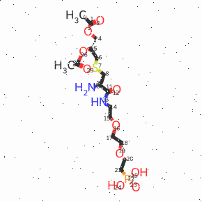 CC(=O)OC[C@H](CSC[C@H](N)C(=O)NCCOCCOCCP(=O)(O)O)OC(C)=O